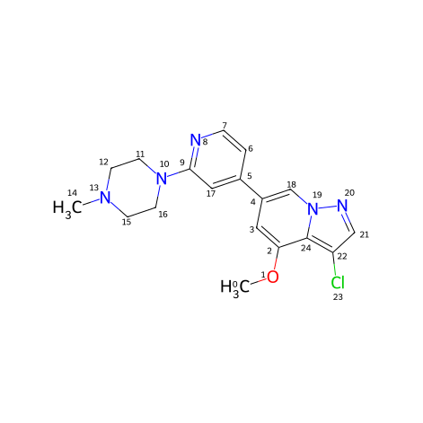 COc1cc(-c2ccnc(N3CCN(C)CC3)c2)cn2ncc(Cl)c12